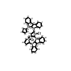 CCn1c(-n2c3ccccc3c3c4ccccc4n(C4=CC=CC4)c32)ccc1-n1c2ccccc2c2c3ccccc3n(C3=CC=CS3(=O)=O)c21